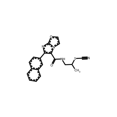 CC(CNC(=O)c1c(-c2ccc3ccccc3c2)nc2occn12)SC#N